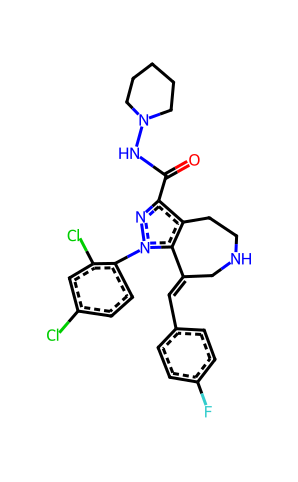 O=C(NN1CCCCC1)c1nn(-c2ccc(Cl)cc2Cl)c2c1CCNCC2=Cc1ccc(F)cc1